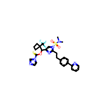 CN(C)S(=O)(=O)n1cc(C(OC(=S)n2ccnc2)C2(C(F)(F)F)CCC2)nc1CCc1ccc(-c2ccccn2)cc1